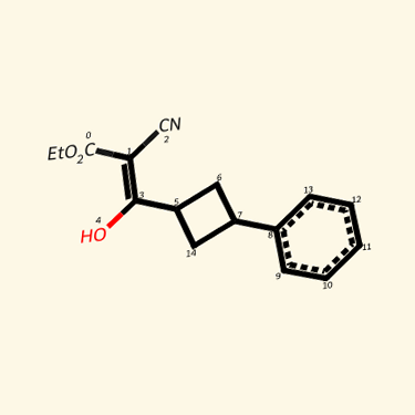 CCOC(=O)C(C#N)=C(O)C1CC(c2ccccc2)C1